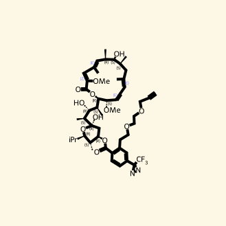 C#CCOCCOCCc1cc(C2(C(F)(F)F)N=N2)ccc1C(=O)O[C@@H]1C[C@](O)([C@@H](C)[C@H](O)[C@H](C)[C@H]2OC(=O)/C(OC)=C/C(C)=C/[C@@H](C)[C@@H](O)[C@@H](C)C/C(C)=C/C=C/[C@@H]2OC)O[C@H](C(C)C)[C@H]1C